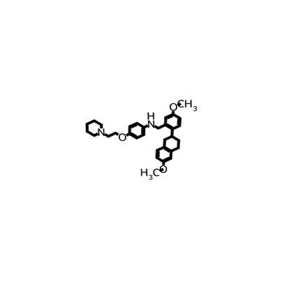 COc1ccc2c(c1)CCC(c1ccc(OC)cc1CNc1ccc(OCCN3CCCCC3)cc1)C2